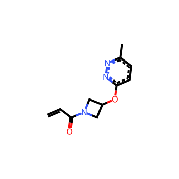 C=CC(=O)N1CC(Oc2ccc(C)nn2)C1